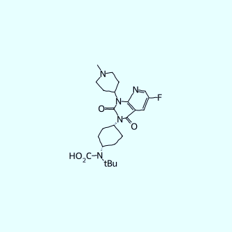 CN1CCC(n2c(=O)n([C@H]3CC[C@@H](N(C(=O)O)C(C)(C)C)CC3)c(=O)c3cc(F)cnc32)CC1